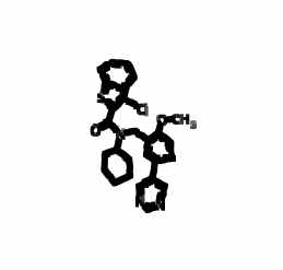 COc1ccc(-c2cncnc2)cc1CN(C(=O)c1sc2ccccc2c1Cl)C1CCCCC1